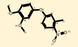 COc1ccc(Oc2ccc([N+](=O)[O-])c(C)c2)cc1OC